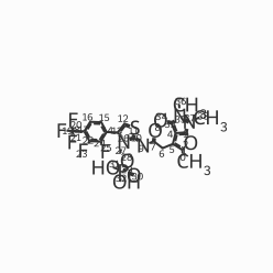 Cc1oc2c(c1CC(=O)/N=c1\scc(-c3ccc(C(F)(F)F)c(F)c3F)n1COP(=O)(O)O)c(=O)n(C)n2C